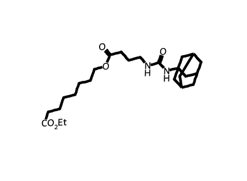 CCOC(=O)CCCCCCCOC(=O)CCCNC(=O)NC12CC3CC(CC(C3)C1)C2